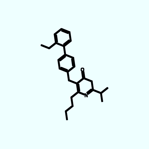 CCCCC1=C(Cc2ccc(-c3ccccc3CC)cc2)C(=O)CC(C(C)C)=N1